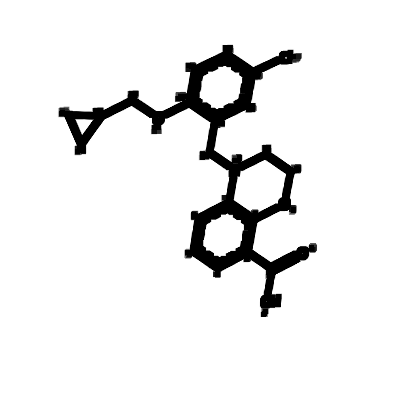 O=C(O)c1cccc2c1OCCN2Cc1cc(Cl)ccc1OCC1CC1